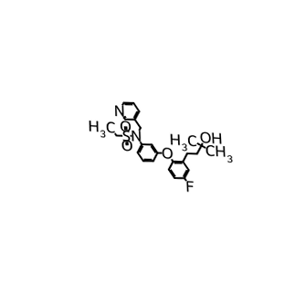 CCS(=O)(=O)N(Cc1cccnc1)c1cccc(Oc2ccc(F)cc2CCC(C)(C)O)c1